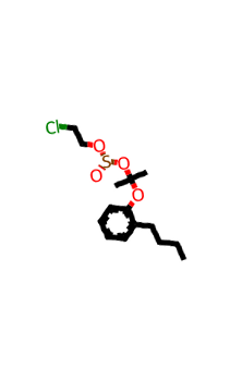 CCCCc1ccccc1OC(C)(C)OS(=O)OCCCl